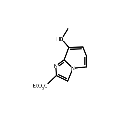 CBc1cccn2cc(C(=O)OCC)nc12